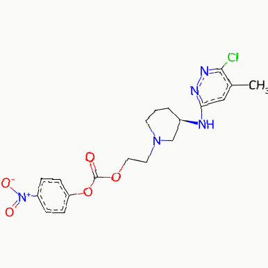 Cc1cc(N[C@@H]2CCCN(CCOC(=O)Oc3ccc([N+](=O)[O-])cc3)C2)nnc1Cl